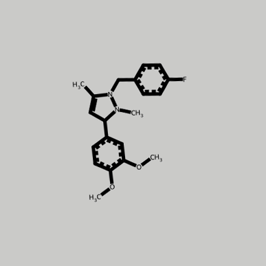 COc1ccc(C2C=C(C)N(Cc3ccc(F)cc3)N2C)cc1OC